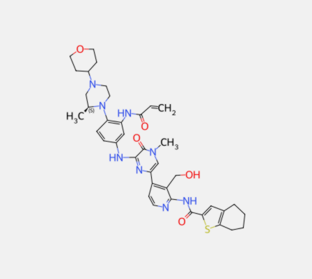 C=CC(=O)Nc1cc(Nc2nc(-c3ccnc(NC(=O)c4cc5c(s4)CCCC5)c3CO)cn(C)c2=O)ccc1N1CCN(C2CCOCC2)C[C@@H]1C